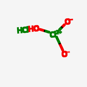 Cl.[O-][Cl+2]([O-])O